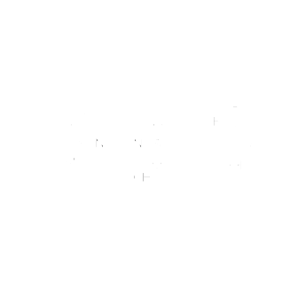 C[C@@H]1CN(C(=O)C2(c3ccccc3)CC2)CCN1S(=O)(=O)c1ccc(C(C)(O)C(F)(F)F)cc1